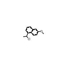 COc1ccc2c(C(C)Cl)cccc2c1